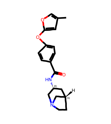 Cc1coc(Oc2ccc(C(=O)N[C@@H]3C[C@@H]4CCN(C4)C3)cc2)c1